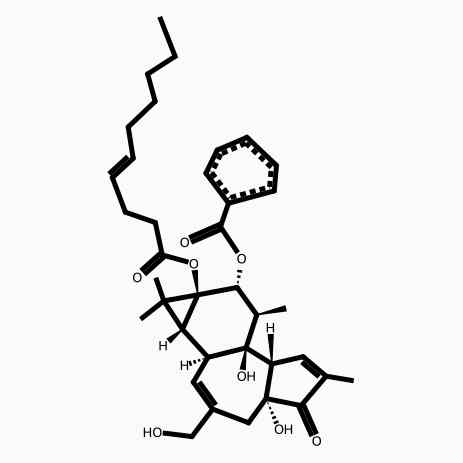 CCCCC/C=C/CCC(=O)O[C@@]12[C@H](OC(=O)c3ccccc3)[C@@H](C)[C@@]3(O)[C@@H](C=C(CO)C[C@]4(O)C(=O)C(C)=C[C@@H]34)[C@@H]1C2(C)C